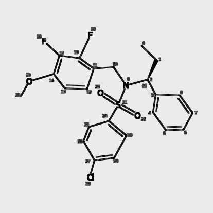 CC[C@@H](c1ccccc1)N(Cc1ccc(OC)c(F)c1F)S(=O)(=O)c1ccc(Cl)cc1